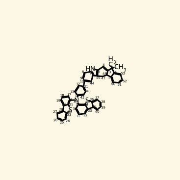 CC1(C)C2=Cc3[nH]c4ccc(-c5ccc(N(c6cccc7c6sc6ccccc67)c6cccc7c6sc6ccccc67)cc5)cc4c3CC2c2ccccc21